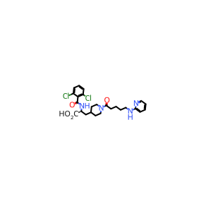 O=C(N[C@@H](CC1CCN(C(=O)CCCCNc2ccccn2)CC1)C(=O)O)c1c(Cl)cccc1Cl